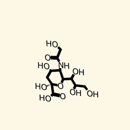 O=C(CO)NC1C(C(O)C(O)CO)O[C@@](O)(C(=O)O)C[C@H]1O